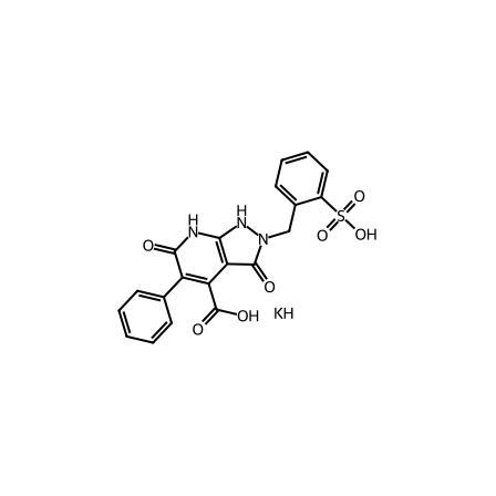 O=C(O)c1c(-c2ccccc2)c(=O)[nH]c2[nH]n(Cc3ccccc3S(=O)(=O)O)c(=O)c12.[KH]